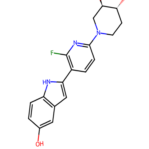 Oc1ccc2[nH]c(-c3ccc(N4CC[C@@H](O)[C@H](O)C4)nc3F)cc2c1